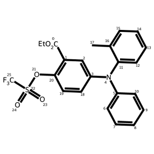 CCOC(=O)c1cc(N(c2ccccc2)c2ccccc2C)ccc1OS(=O)(=O)C(F)(F)F